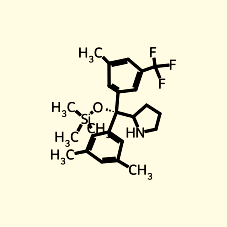 Cc1cc(C)cc([C@@](O[Si](C)(C)C)(c2cc(C)cc(C(F)(F)F)c2)C2CCCN2)c1